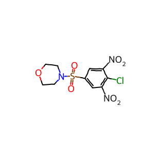 O=[N+]([O-])c1cc(S(=O)(=O)N2CCOCC2)cc([N+](=O)[O-])c1Cl